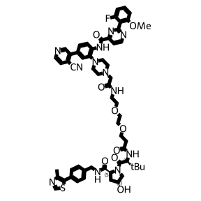 COc1cccc(F)c1-c1nccc(C(=O)Nc2ccc(-c3cnccc3C#N)cc2N2CCN(CC(=O)NCCOCCOCCC(=O)N[C@H](C(=O)N3C[C@H](O)C[C@H]3C(=O)NCc3ccc(-c4scnc4C)cc3)C(C)(C)C)CC2)n1